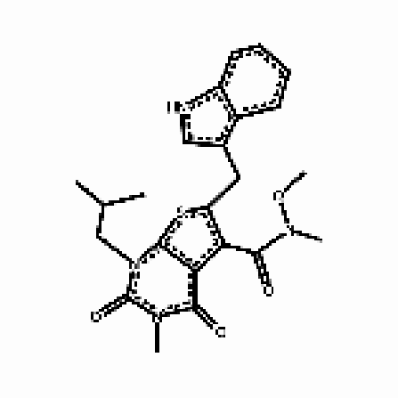 CON(C)C(=O)c1c(Cc2c[nH]c3ccccc23)sc2c1c(=O)n(C)c(=O)n2CC(C)C